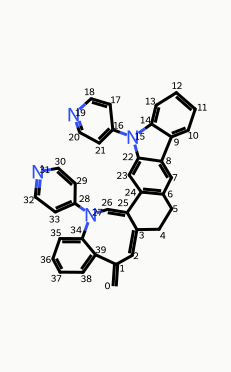 C=C1/C=C2/CCc3cc4c5ccccc5n(-c5ccncc5)c4cc3/C2=C/N(c2ccncc2)c2ccccc21